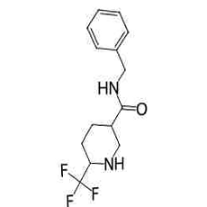 O=C(NCc1ccccc1)C1CCC(C(F)(F)F)NC1